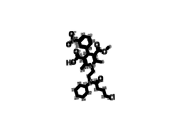 COC(=O)C1=C(C)N(CCN(C(=O)CCCCl)C2CCCCC2)C(C)=C(C(=O)O)C1c1cccc([N+](=O)[O-])c1